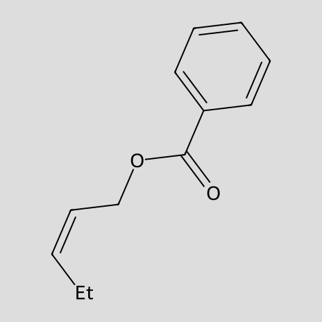 CC/C=C\COC(=O)c1ccccc1